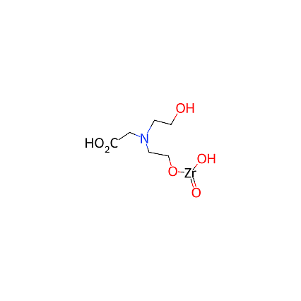 O=C(O)CN(CCO)CC[O][Zr](=[O])[OH]